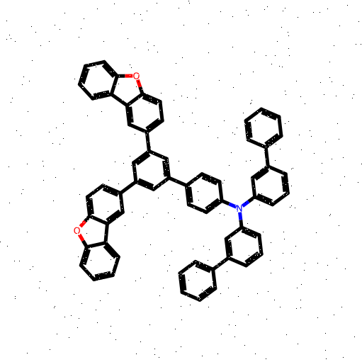 c1ccc(-c2cccc(N(c3ccc(-c4cc(-c5ccc6oc7ccccc7c6c5)cc(-c5ccc6oc7ccccc7c6c5)c4)cc3)c3cccc(-c4ccccc4)c3)c2)cc1